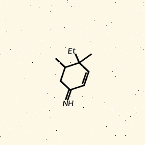 CCC1(C)C=CC(=N)CC1C